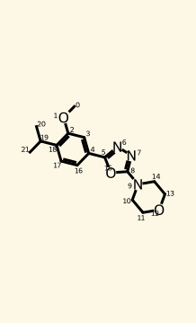 COc1cc(-c2nnc(N3CCOCC3)o2)ccc1C(C)C